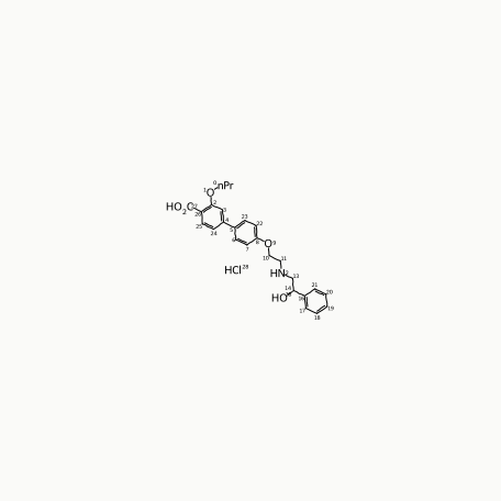 CCCOc1cc(-c2ccc(OCCNC[C@H](O)c3ccccc3)cc2)ccc1C(=O)O.Cl